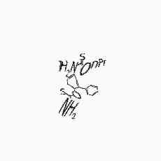 CCCOC(N)=S.NC(=S)Oc1ccccc1-c1ccccc1